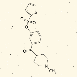 CN1CCC(C(=O)c2cccc(OS(=O)(=O)c3cccs3)c2)CC1